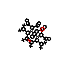 CC(C)(C)c1cc(-c2cc(-c3cc(C(C)(C)C)cc(C(C)(C)C)c3)cc(N(c3cc(C4CC5CC4C4CCC5C4)cc(C4CC5CC4C4CCCC54)c3)c3c4ccccc4c(N(c4cc(-c5cc(C(C)(C)C)cc(C(C)(C)C)c5)cc(-c5cc(C(C)(C)C)cc(C(C)(C)C)c5)c4)c4cc(C5CC6CC5C5CCCC65)cc(C5CC6CC5C5CCCC65)c4)c4cc(-c5ccccc5)ccc34)c2)cc(C(C)(C)C)c1